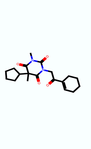 CN1C(=O)N(CC(=O)C2=CCCCC2)C(=O)C(C)(C2CCCC2)C1=O